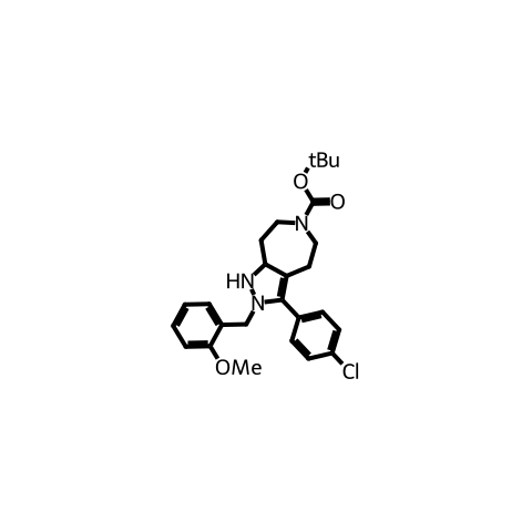 COc1ccccc1CN1NC2CCN(C(=O)OC(C)(C)C)CCC2=C1c1ccc(Cl)cc1